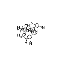 CC(C)(C)[Si](C)(C)OC[C@@]1(C)CNc2c(C#N)cc(-c3ccnc(Nc4cc(C#N)ccc4C4CC4)n3)cc21